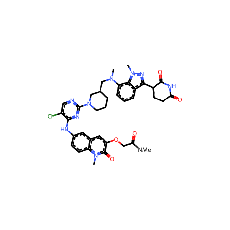 CNC(=O)COc1cc2cc(Nc3nc(N4CCC[C@H](CN(C)c5cccc6c(C7CCC(=O)NC7=O)nn(C)c56)C4)ncc3Cl)ccc2n(C)c1=O